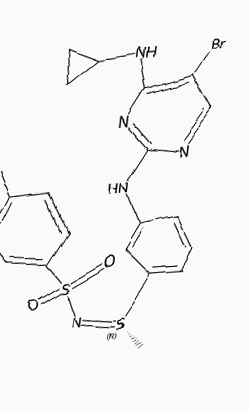 Cc1ccc(S(=O)(=O)N=[S@@](C)c2cccc(Nc3ncc(Br)c(NC4CC4)n3)c2)cc1